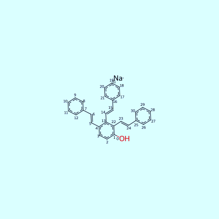 Oc1ccc(C=Cc2ccccc2)c(C=Cc2ccccc2)c1C=Cc1ccccc1.[Na]